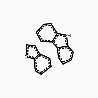 c1ccc2c(c1)[pH]c1ccccc12.c1ccc2occc2c1